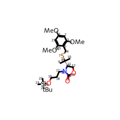 COc1cc(OC)c(CSC(C)(C)[C@@H]2COC(=O)N2CCCO[Si](C)(C)C(C)(C)C)c(OC)c1